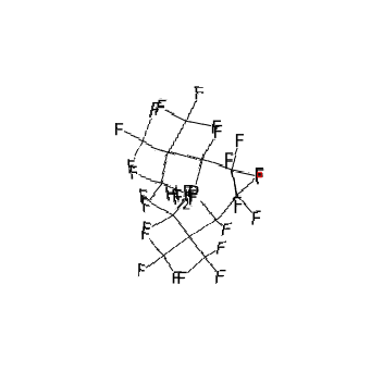 F[PH2](C(F)(C(F)(F)F)C(C(F)(F)F)(C(F)(F)F)C(F)(F)F)C(F)(C(F)(F)F)C(C(F)(F)F)(C(F)(F)F)C(F)(F)F